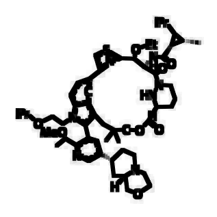 CCO[C@@H]1c2nc(cs2)-c2ccc3c(c2)c(c(-c2cc([C@@H]4CCN5CCOC[C@@H]5C4)cnc2[C@H](C)OC)n3CCOC(C)C)CC(C)(C)COC(=O)[C@@H]2CCCN(N2)C(=O)[C@H]1NC(=O)[C@H]1C(C(C)C)[C@@H]1C